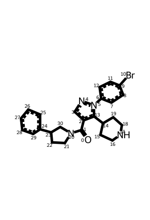 O=C(c1cnn(-c2ccc(Br)cc2)c1C1CCNCC1)N1CCC(c2ccccc2)C1